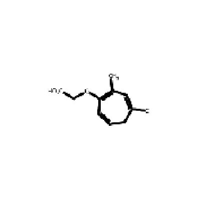 CC1=C(OCC(=O)O)C=CCC(Cl)=C1